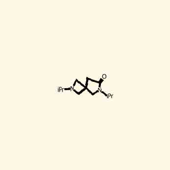 CC(C)N1CC2(CC(=O)N(C(C)C)C2)C1